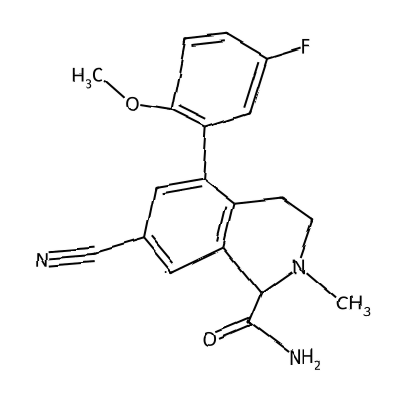 COc1ccc(F)cc1-c1cc(C#N)[c]c2c1CCN(C)C2C(N)=O